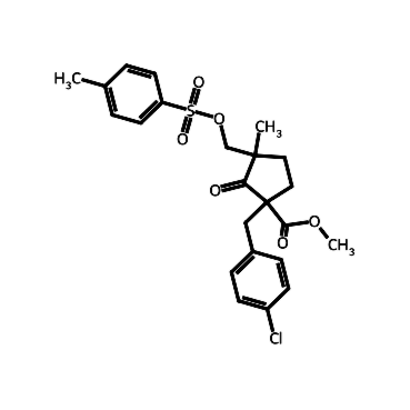 COC(=O)C1(Cc2ccc(Cl)cc2)CCC(C)(COS(=O)(=O)c2ccc(C)cc2)C1=O